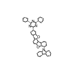 c1ccc(-c2nc(-c3ccccc3)nc(-c3ccc4c(c3)oc3c4ccc4oc5c(-n6c7ccccc7c7ccccc76)cccc5c43)n2)cc1